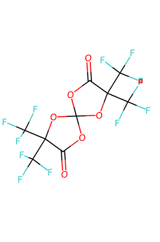 O=C1OC2(OC(=O)C(C(F)(F)F)(C(F)(F)F)O2)OC1(C(F)(F)F)C(F)(F)F